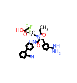 CCC(=O)N(CC)[C@@H](Cc1cccc(C(=N)N)c1)C(=O)Nc1ccc(-c2ccccc2C#N)cc1.O=C(O)C(F)(F)F